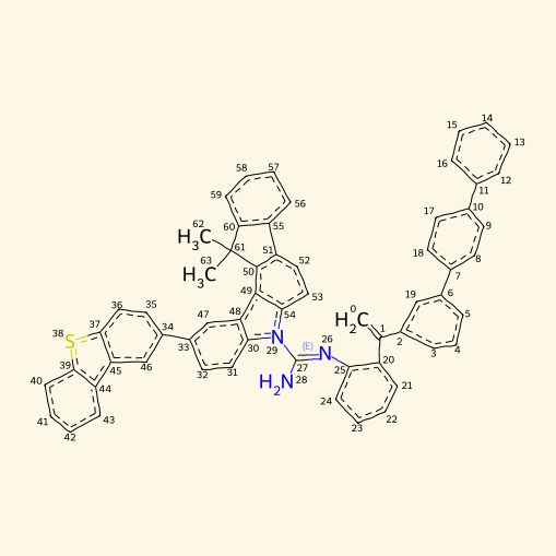 C=C(c1cccc(-c2ccc(-c3ccccc3)cc2)c1)c1ccccc1/N=C(\N)n1c2ccc(-c3ccc4sc5ccccc5c4c3)cc2c2c3c(ccc21)-c1ccccc1C3(C)C